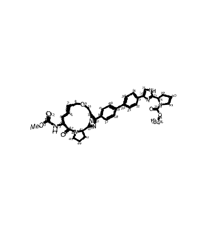 COC(=O)NC1C/C=C/COCc2[nH]c(nc2-c2ccc(-c3ccc(-c4c[nH]c(C5CCCN5C(=O)OC(C)(C)C)n4)cc3)cc2)C2CCCN2C1=O